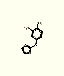 Nc1ccc(Sc2nccs2)cc1N